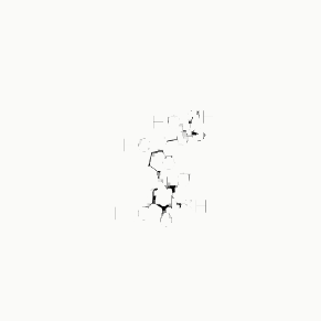 Cc1cn([C@H]2C[C@H](O)[C@@H](COP(=O)(O)O)O2)c(=O)n(S)c1=O